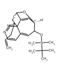 C=CCC1(O)CCC2O[C@@H]3C=C2C12C=NC=CC2=CC3O[Si](C)(C)C(C)(C)C